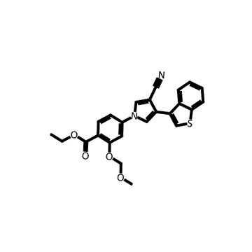 CCOC(=O)c1ccc(-n2cc(C#N)c(-c3csc4ccccc34)c2)cc1OCOC